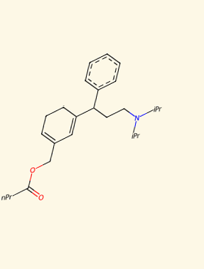 CCCC(=O)OCC1=CC[CH]C(C(CCN(C(C)C)C(C)C)c2ccccc2)=C1